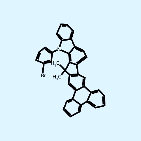 CC1(C)c2cc3c4ccccc4c4ccccc4c3cc2-c2ccc3c4ccccc4n(-c4cccc(Br)c4)c3c21